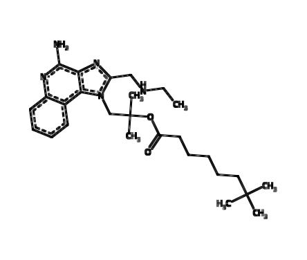 CCNCc1nc2c(N)nc3ccccc3c2n1CC(C)(C)OC(=O)CCCCCC(C)(C)C